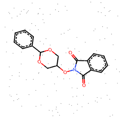 O=C1c2ccccc2C(=O)N1OC1COC(c2ccccc2)OC1